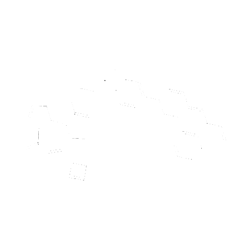 C=CC(C=C/C=C\C(CC)c1ccc2c(c1)CC2(C)C/C=C\C(=C)N1C2=C(C=CC2)C(=C)C=C(C2C=CC2)C1C)c1ccccc1